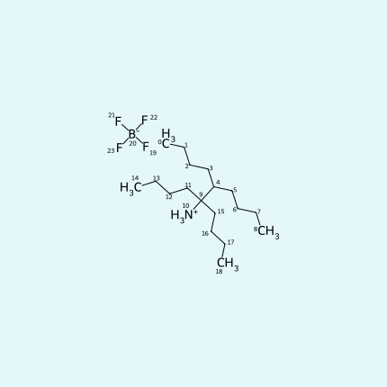 CCCCC(CCCC)C([NH3+])(CCCC)CCCC.F[B-](F)(F)F